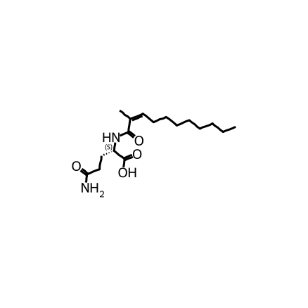 CCCCCCCCC=C(C)C(=O)N[C@@H](CCC(N)=O)C(=O)O